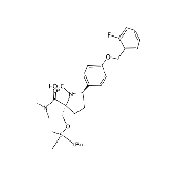 CN(C)C(=O)[C@]1(CO[Si](C)(C)C(C)(C)C)CC[C@H](c2ccc(OCc3ccccc3F)cc2)N1C(=O)O